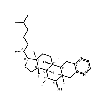 CC(C)CCC[C@@H](C)[C@H]1CC[C@H]2[C@@H]3[C@@H](O)[C@H](O)[C@H]4Cc5nccnc5C[C@]4(C)[C@H]3CC[C@]12C